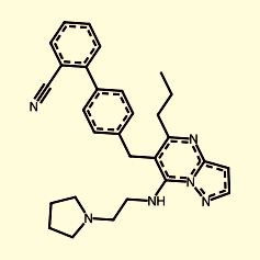 CCCc1nc2ccnn2c(NCCN2CCCC2)c1Cc1ccc(-c2ccccc2C#N)cc1